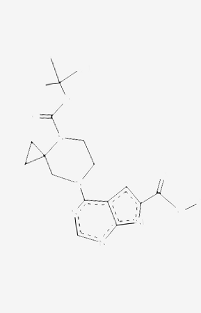 COC(=O)c1cc2c(N3CCN(C(=O)OC(C)(C)C)C4(CC4)C3)ncnc2[nH]1